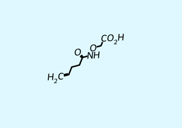 C=CCCC(=O)NOCC(=O)O